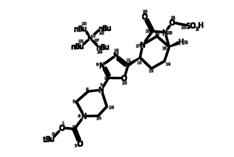 CC(C)(C)OC(=O)N1CCN(c2nnc([C@@H]3CC[C@@H]4CN3C(=O)N4OS(=O)(=O)O)o2)CC1.CCCC[N+](CCCC)(CCCC)CCCC